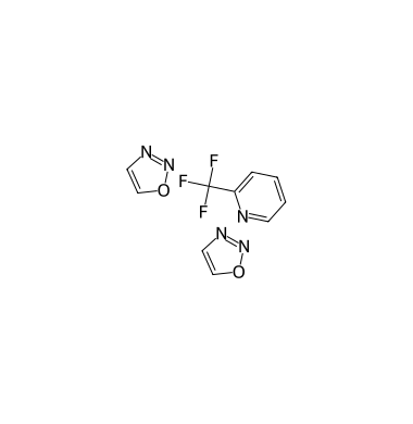 FC(F)(F)c1ccccn1.c1conn1.c1conn1